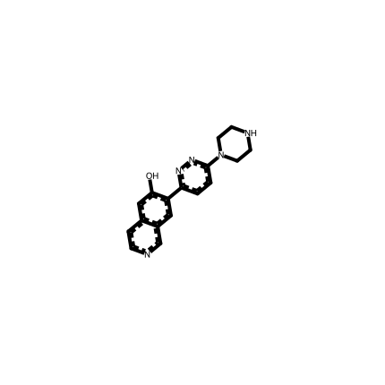 Oc1cc2ccncc2cc1-c1ccc(N2CCNCC2)nn1